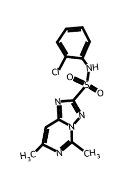 Cc1cc2nc(S(=O)(=O)Nc3ccccc3Cl)nn2c(C)n1